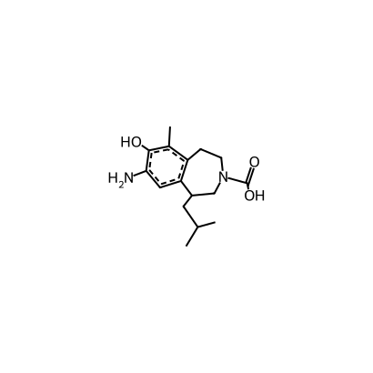 Cc1c(O)c(N)cc2c1CCN(C(=O)O)CC2CC(C)C